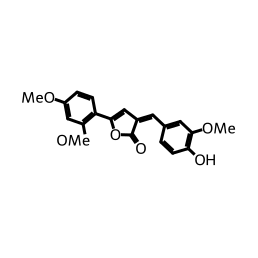 COc1ccc(C2=CC(=Cc3ccc(O)c(OC)c3)C(=O)O2)c(OC)c1